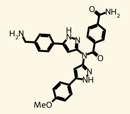 COc1ccc(-c2cc(N(C(=O)c3ccc(C(N)=O)cc3)c3cc(-c4ccc(CN)cc4)[nH]n3)n[nH]2)cc1